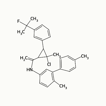 C=C(Nc1ccc(C)c(-c2ccc(C)cc2)c1)C1C(c2cccc(C(C)(C)F)c2)C1(C)Cl